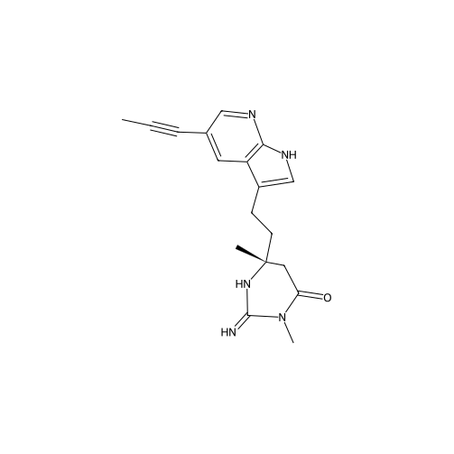 CC#Cc1cnc2[nH]cc(CC[C@]3(C)CC(=O)N(C)C(=N)N3)c2c1